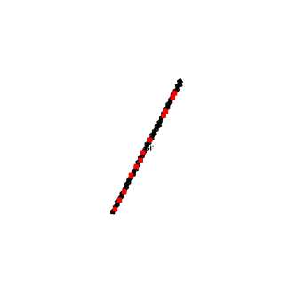 CCCCCCCCCCCCCCCCCCCCCCCCCCCCCC[Si]CCCCCCCCCCCCCCCCCCCCCCCCCCCCCC